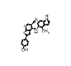 Cc1c(Nc2c(C#N)cnc3sc(-c4ccc(O)cc4)cc23)ccc2[nH]ccc12